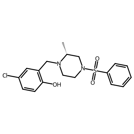 C[C@@H]1CN(S(=O)(=O)c2ccccc2)CCN1Cc1cc(Cl)ccc1O